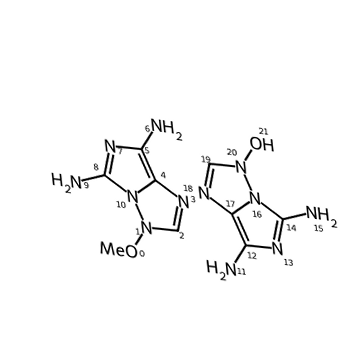 COn1cnc2c(N)nc(N)n21.Nc1nc(N)n2c1ncn2O